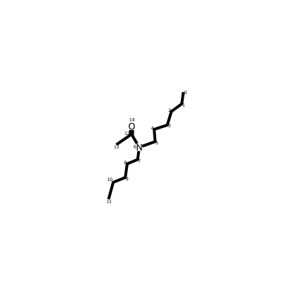 CCCCCCN(CCCCC)C(C)=O